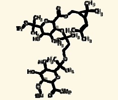 COC(=O)C1OC(C(C)(C)OCCC(C)(C)O[C@@H]2C(C(=O)OCC3C(C=C(C)C)C3(C)C)OC(C(C)(C)OC(C)C)C(O)C2O)C(O)C(O)[C@@H]1OC(C)(C)C